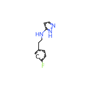 Fc1ccc(CCNc2ccn[nH]2)cc1